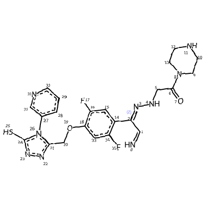 N=C/C(=N\NCC(=O)N1CCNCC1)c1cc(F)c(OCc2nnc(S)n2-c2cccnc2)cc1F